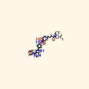 CN(CC(F)(F)F)C(=O)/C=C/CN1CCC(O)(C(=O)Nc2ccc(-c3cc4c(N5CCOCC5)ncnc4[nH]3)cc2)CC1